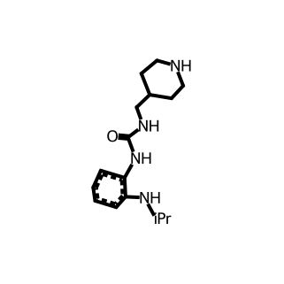 CC(C)Nc1ccccc1NC(=O)NCC1CCNCC1